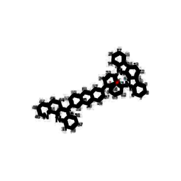 c1ccc(-n2c3ccccc3c3ccc4c5ccccc5n(-c5ccc(-c6ccc7cc8cc(-c9c%10ccccc%10nc%10c9ccc9cccnc9%10)ccc8cc7c6)cc5)c4c32)cc1